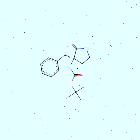 C[C@@H]1C[C@](Cc2ccccc2)(NC(=O)OC(C)(C)C)C(=O)N1